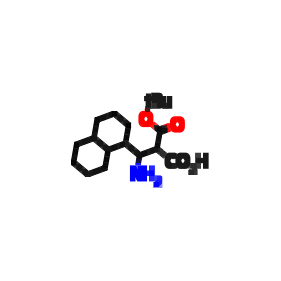 CC(C)(C)OC(=O)C(C(=O)O)C(N)C1CCCC2CCCCC21